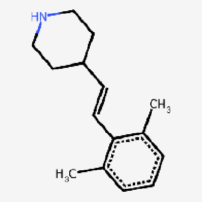 Cc1cccc(C)c1/C=C/C1CCNCC1